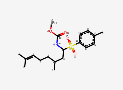 CC(C)=CCCC(C)CC(NC(=O)OC(C)(C)C)S(=O)(=O)c1ccc(C)cc1